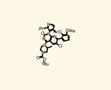 COc1cccc(-c2nc3c(cc2Cl)c(N2CCN(C(=O)OC(C)(C)C)CC2C)nc(=O)n3-c2c(C)ccnc2C(C)C)c1OC(C)=O